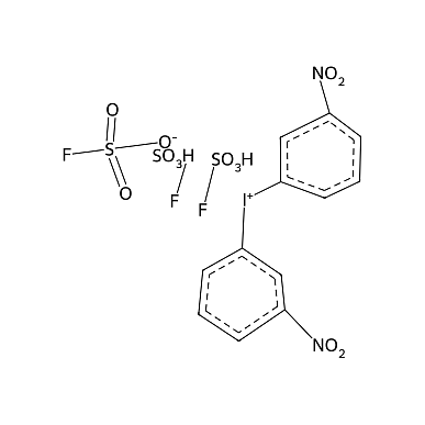 O=S(=O)(O)F.O=S(=O)(O)F.O=S(=O)([O-])F.O=[N+]([O-])c1cccc([I+]c2cccc([N+](=O)[O-])c2)c1